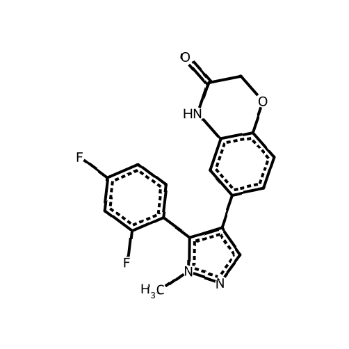 Cn1ncc(-c2ccc3c(c2)NC(=O)CO3)c1-c1ccc(F)cc1F